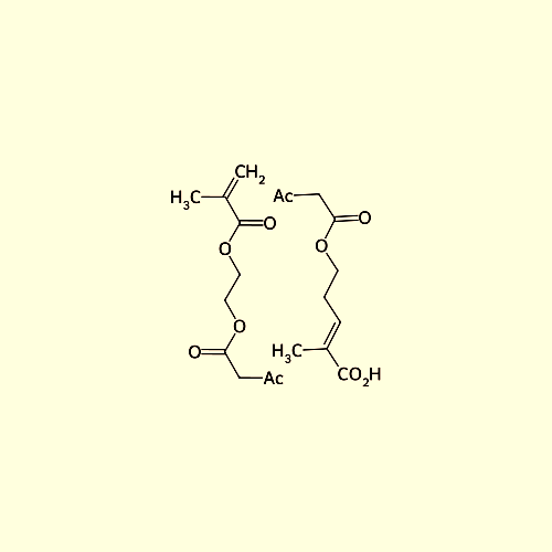 C=C(C)C(=O)OCCOC(=O)CC(C)=O.CC(=O)CC(=O)OCCC=C(C)C(=O)O